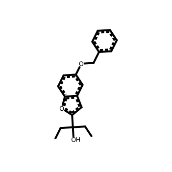 CCC(O)(CC)c1cc2cc(OCc3ccccc3)ccc2o1